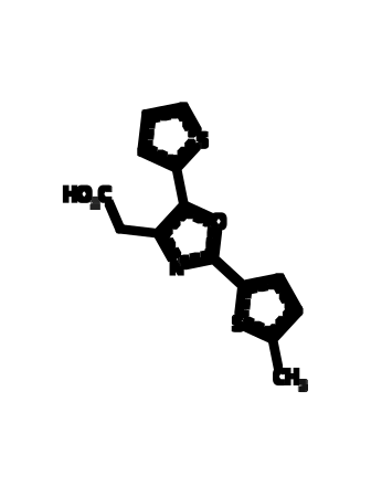 Cc1ccc(-c2nc(CC(=O)O)c(-c3cccs3)o2)s1